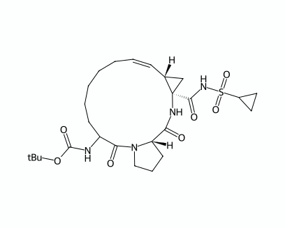 CC(C)(C)OC(=O)NC1CCCCC/C=C\[C@@H]2C[C@@]2(C(=O)NS(=O)(=O)C2CC2)NC(=O)[C@@H]2CCCN2C1=O